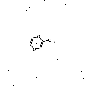 [CH2]C1=COC=CO1